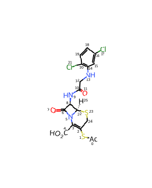 CC(=O)SC1=C(C(=O)O)N2C(=O)[C@@H](NC(=O)CNc3cc(Cl)ccc3Cl)[C@H]2SC1